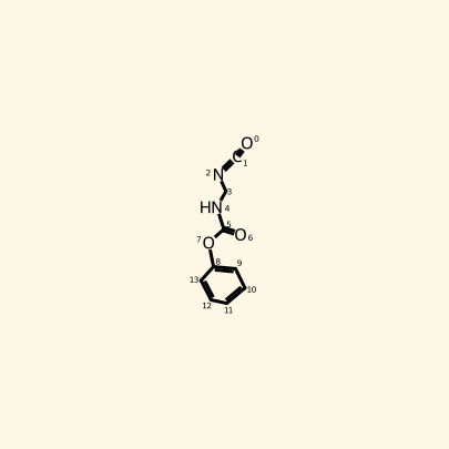 O=C=NCNC(=O)Oc1ccccc1